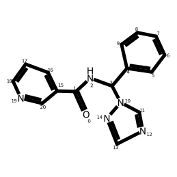 O=C(NC(c1ccccc1)n1cncn1)c1cccnc1